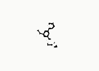 Cc1noc([C@@H](C)NC(=O)c2cc(-c3ccc(F)cn3)cc(C(O)C(F)F)c2)n1